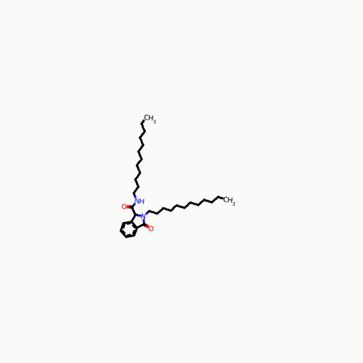 CCCCCCCCCCCCNC(=O)C1c2ccccc2C(=O)N1CCCCCCCCCCCC